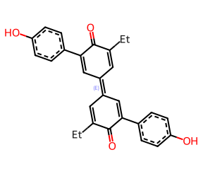 CCC1=C/C(=C2/C=C(CC)C(=O)C(c3ccc(O)cc3)=C2)C=C(c2ccc(O)cc2)C1=O